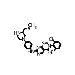 COCC1CN(c2ccc(Nc3ncc4c(n3)SCN(c3c(Cl)cccc3Cl)C4=O)cc2)CCN1